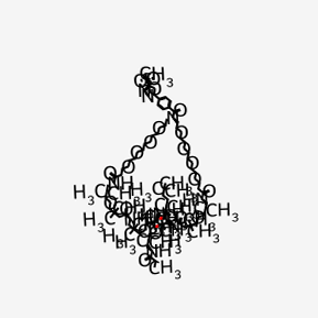 CCC(=O)NCC(C)(C)COCC(C)(C)CNC(=O)CC(C)(C)COCC(C)(C)CNC(=O)CCOCCOCCOCCOCCN(CCOCCOCCOCCOCCC(=O)NCC(C)(C)COCC(C)(C)CC(=O)NCC(C)(C)COCC(C)(C)CNC(=O)C(C)(C)CCC(C)(C)C)C(=O)c1ccc(-c2nnc(S(C)(=O)=O)o2)cc1